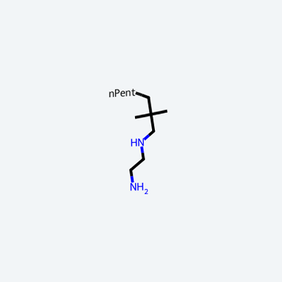 CCCCCCC(C)(C)CNCCN